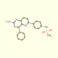 CS(=O)(=O)Nc1ccc(-c2ccc3nc(N)nc(-c4ccccc4)c3n2)cc1